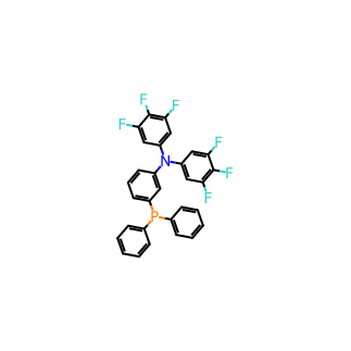 Fc1cc(N(c2cccc(P(c3ccccc3)c3ccccc3)c2)c2cc(F)c(F)c(F)c2)cc(F)c1F